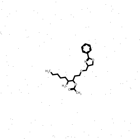 CCCCCC(C)C(CCOCC1COC(c2ccccc2)=N1)OC(C)=O